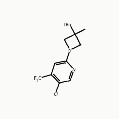 CC(C)(C)C1(C)CN(c2cc(C(F)(F)F)c(Cl)cn2)C1